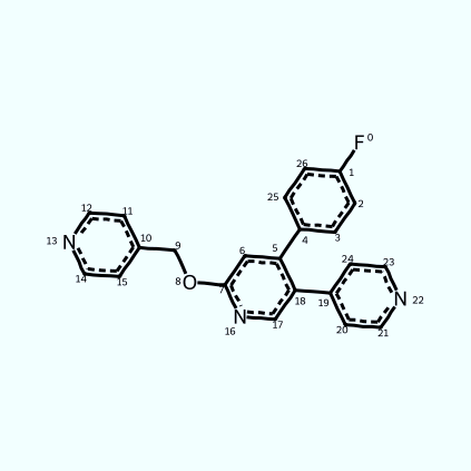 Fc1ccc(-c2cc(OCc3ccncc3)ncc2-c2ccncc2)cc1